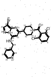 O=C(c1c(Cl)cccc1Cl)N1CCC(c2cc(NCc3cccnc3)n3ncc(Br)c3n2)CC1